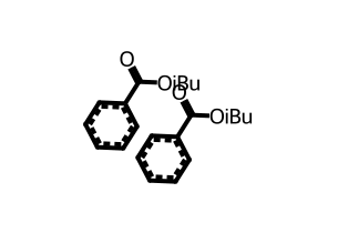 CC(C)COC(=O)c1ccccc1.CC(C)COC(=O)c1ccccc1